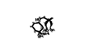 CC(CO)(CO)CO.OC1(O)CCCCC1